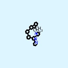 CC1(C)c2ccccc2-c2ccc(-c3cccc(-c4cccc(-c5cc(-c6ccccn6)nc(-c6ccccn6)c5)c4)c3)cc21